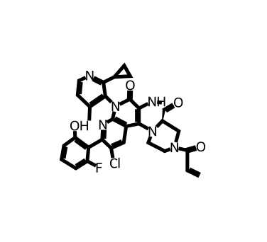 C=CC(=O)N1CCN(c2c(NC)c(=O)n(-c3c(C)ccnc3C3CC3)c3nc(-c4c(O)cccc4F)c(Cl)cc23)[C@@H](C=O)C1